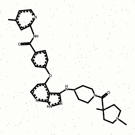 Cc1ccnc(NC(=O)c2ccc(Oc3ccnc4[nH]nc(NC5CCN(C(=O)C6(C)CCN(C)CC6)CC5)c34)cc2)c1